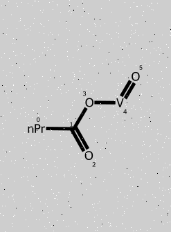 CCCC(=O)[O][V]=[O]